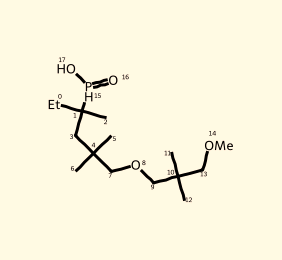 CCC(C)(CC(C)(C)COCC(C)(C)COC)[PH](=O)O